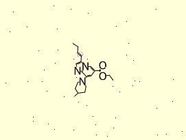 CC/C=C/c1cnc2c(N3CCC(C)CC3)cc(C(=O)OCC)cn12